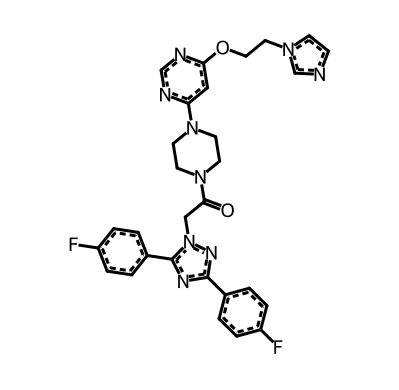 O=C(Cn1nc(-c2ccc(F)cc2)nc1-c1ccc(F)cc1)N1CCN(c2cc(OCCn3ccnc3)ncn2)CC1